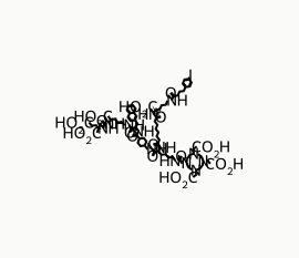 O=C(O)CCC(NC(=O)NC(CCCCNC(=O)C(Cc1ccc2ccccc2c1)NC(=O)C1CCC(CNC(=O)C(CCCCNC(=O)CN2CCN(CC(=O)O)CCN(CC(=O)O)CCN(CC(=O)O)CC2)NC(=O)CCCCCCC(=O)N[C@@H](CCCCNC(=O)CCCc2ccc(I)cc2)C(=O)O)CC1)C(=O)O)C(=O)O